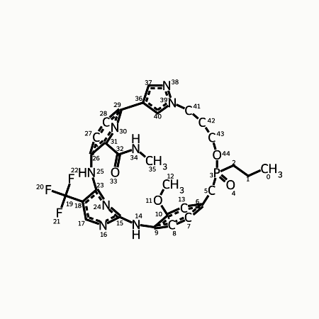 CCCP1(=O)Cc2ccc(c(OC)c2)Nc2ncc(C(F)(F)F)c(n2)Nc2ccc(nc2C(=O)NC)-c2cnn(c2)CCCO1